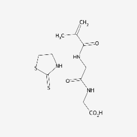 C=C(C)C(=O)NCC(=O)NCC(=O)O.S=C1NCCS1